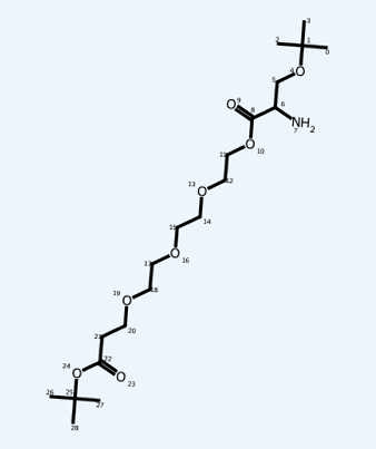 CC(C)(C)OCC(N)C(=O)OCCOCCOCCOCCC(=O)OC(C)(C)C